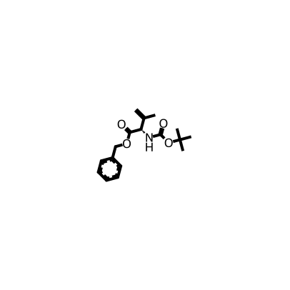 C=C(C)[C@H](NC(=O)OC(C)(C)C)C(=O)OCc1ccccc1